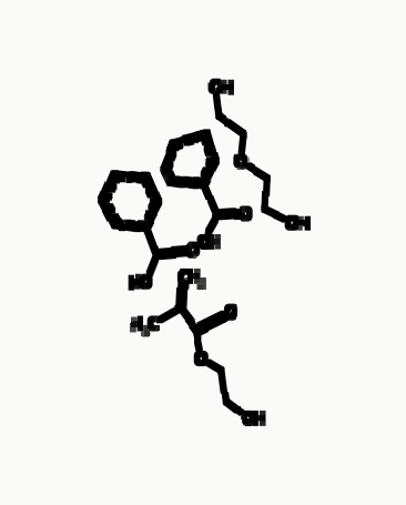 C=C(C)C(=O)OCCO.O=C(O)c1ccccc1.O=C(O)c1ccccc1.OCCOCCO